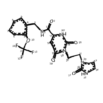 O=C(NCc1ccccc1OC(F)(F)F)c1cc(=O)n(CCn2cc[nH]c2=O)c(=O)[nH]1